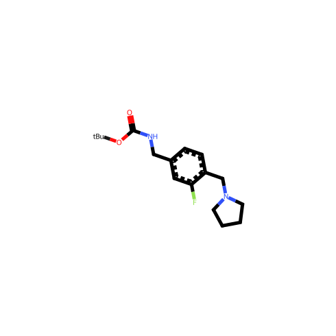 CC(C)(C)OC(=O)NCc1ccc(CN2CCCC2)c(F)c1